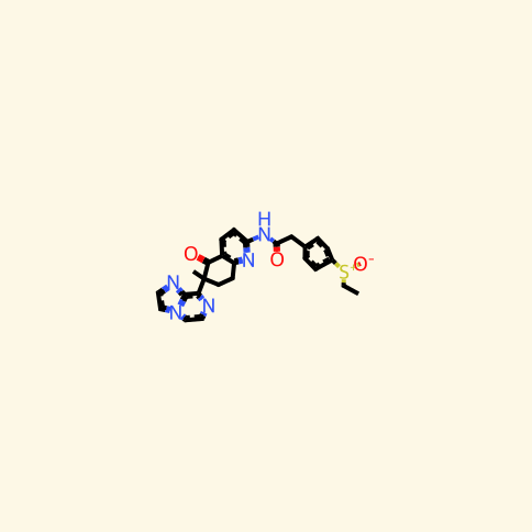 CC[S+]([O-])c1ccc(CC(=O)Nc2ccc3c(n2)CCC(C)(c2nccn4ccnc24)C3=O)cc1